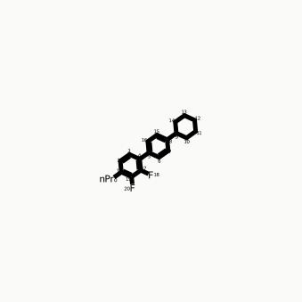 CCCc1ccc(-c2ccc(C3CCCCC3)cc2)c(F)c1F